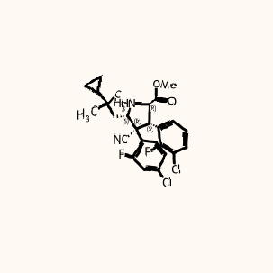 COC(=O)[C@@H]1N[C@@H](CC(C)(C)C2CC2)[C@](C#N)(c2ccc(Cl)cc2F)[C@H]1c1cccc(Cl)c1F